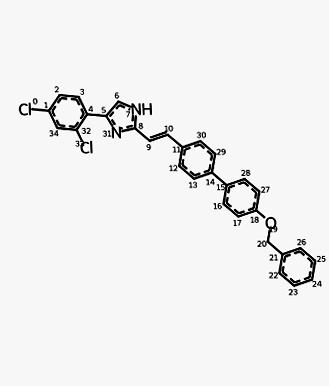 Clc1ccc(-c2c[nH]c(/C=C/c3ccc(-c4ccc(OCc5ccccc5)cc4)cc3)n2)c(Cl)c1